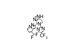 FC(F)c1cccn2nc(C3c4nc[nH]c4CCN3c3ncc(C(F)(F)F)cn3)cc12